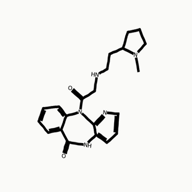 CN1CCCC1CCNCC(=O)N1c2ccccc2C(=O)Nc2cccnc21